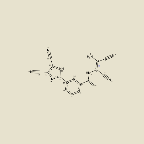 C=C(N/C(C#N)=C(\N)C#N)c1cccc(-c2nc(C#N)c(C#N)[nH]2)n1